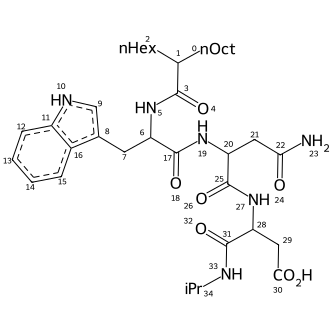 CCCCCCCCC(CCCCCC)C(=O)NC(Cc1c[nH]c2ccccc12)C(=O)NC(CC(N)=O)C(=O)NC(CC(=O)O)C(=O)NC(C)C